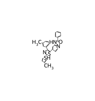 CC1=C[SH](c2nc(-c3cccc(C)c3)c(-c3ccnc(NC(=O)c4ccccc4)c3)s2)C=C1